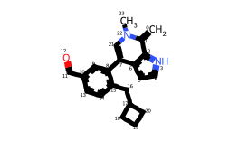 C=C1c2[nH]ccc2C(c2cc(C=O)ccc2CC2CCC2)=CN1C